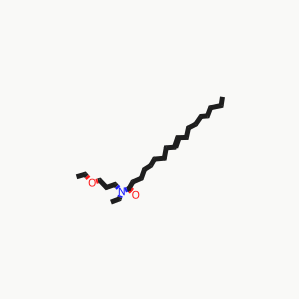 CCCCCCCCC=CCCCCCCCC(=O)N(CC)CCCOCC